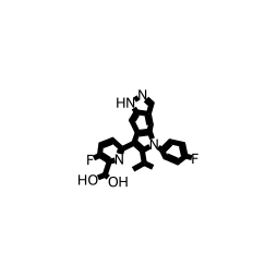 CC(C)c1c(-c2ccc(F)c(C(O)O)n2)c2cc3[nH]ncc3cc2n1-c1ccc(F)cc1